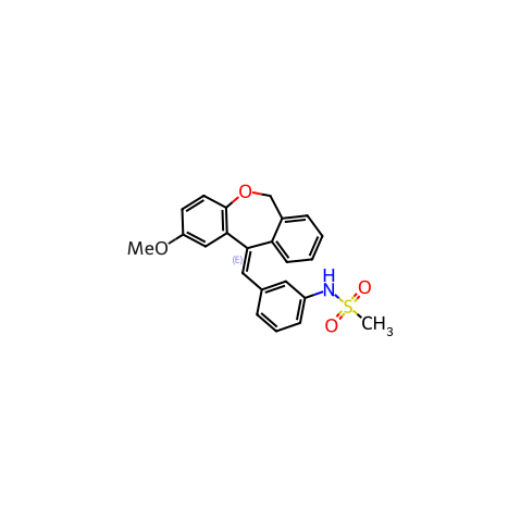 COc1ccc2c(c1)/C(=C/c1cccc(NS(C)(=O)=O)c1)c1ccccc1CO2